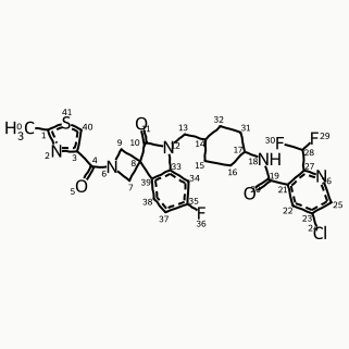 Cc1nc(C(=O)N2CC3(C2)C(=O)N(CC2CCC(NC(=O)c4cc(Cl)cnc4C(F)F)CC2)c2cc(F)ccc23)cs1